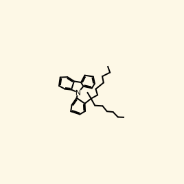 CCCCCCC(C)(CCCCCC)c1ccccc1-n1c2ccccc2c2ccccc21